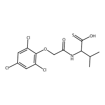 CC(C)C(NC(=O)COc1c(Cl)cc(Cl)cc1Cl)C(O)=S